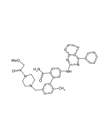 COCC(=O)N1CCN(Cc2ccc(C)c(-c3cc(Nc4nc(-c5ccccc5)c5ccccc5n4)ccc3C(N)=O)c2)CC1